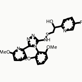 COc1cccc(-c2nnc(NSCC(O)c3ccc(F)cn3)n2-c2c(OC)cccc2OC)n1